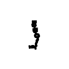 CC(O)CCC/C=C/c1ccc(-c2cnc(-c3ccc(O)cc3)nc2)cc1